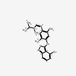 Cc1cc(Oc2snc3cccc(Cl)c23)c(C)cc1/N=C\N(C)C(C)C